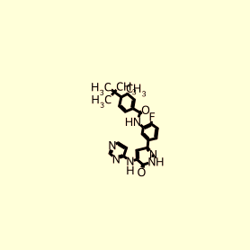 CC1C=C(C(=O)Nc2cc(-c3cc(Nc4ccncn4)c(=O)[nH]n3)ccc2F)C=CC1C(C)(C)C